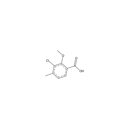 COc1c(C(=O)O)ccc(C)c1Cl